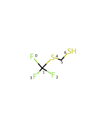 FC(F)(F)SCS